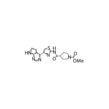 COC(=O)N1CCC(C(=O)Nc2nc(-c3ncnc4[nH]ccc34)cs2)CC1